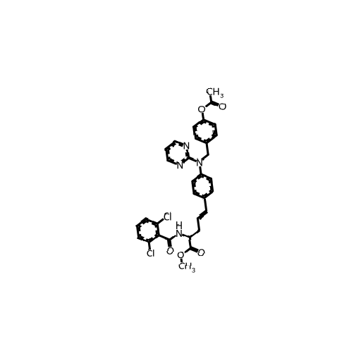 COC(=O)C(C/C=C/c1ccc(N(Cc2ccc(OC(C)=O)cc2)c2ncccn2)cc1)NC(=O)c1c(Cl)cccc1Cl